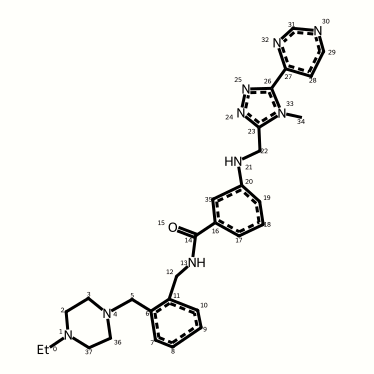 CCN1CCN(Cc2ccccc2CNC(=O)c2cccc(NCc3nnc(-c4ccncn4)n3C)c2)CC1